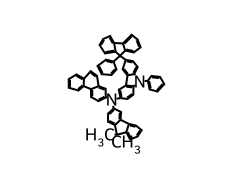 CC1(C)c2ccccc2-c2cc(N(c3ccc4c(ccc5ccccc54)c3)c3ccc4c(c3)c3cc(C5(c6ccccc6)c6ccccc6-c6ccccc65)ccc3n4-c3ccccc3)ccc21